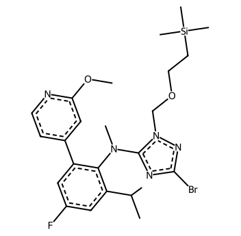 COc1cc(-c2cc(F)cc(C(C)C)c2N(C)c2nc(Br)nn2COCC[Si](C)(C)C)ccn1